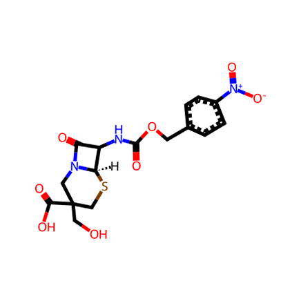 O=C(NC1C(=O)N2CC(CO)(C(=O)O)CS[C@H]12)OCc1ccc([N+](=O)[O-])cc1